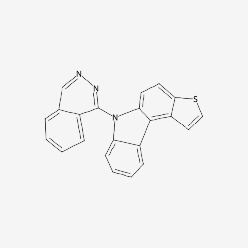 c1ccc2c(-n3c4ccccc4c4c5ccsc5ccc43)nncc2c1